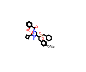 COc1ccc(CC(C(CNC(=O)c2ccccc2O)NC(=O)C2CCC2)S(=O)(=O)CC2CCCCC2)cc1